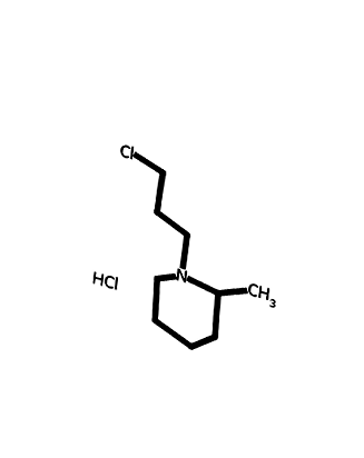 CC1CCCCN1CCCCl.Cl